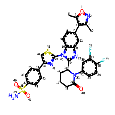 Cc1noc(C)c1-c1ccc2c(c1)nc([C@@H]1CCCC(=O)N1c1ccc(F)c(F)c1)n2-c1nc(-c2ccc(S(N)(=O)=O)cc2)cs1